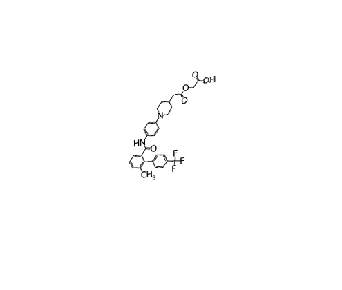 Cc1cccc(C(=O)Nc2ccc(N3CCC(CC(=O)OCC(=O)O)CC3)cc2)c1-c1ccc(C(F)(F)F)cc1